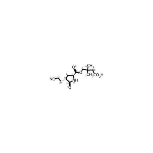 CC(C)(COC(=O)[C@@H]1C[C@@H](CCC#N)C(=O)N1)CC(=O)O